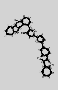 Fc1cc(-c2ccc(-c3ccc4c(c3)sc3c5ccccc5sc43)s2)sc1-c1cccc2sc3c4ccccc4sc3c12